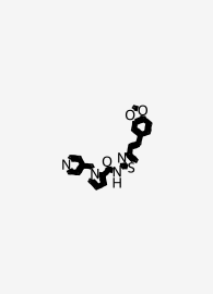 O=C(Nc1nc(C=Cc2ccc3c(c2)OCO3)cs1)c1cccn1Cc1ccncc1